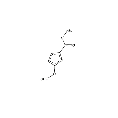 CCCCOC(=O)c1ccc(OC=O)o1